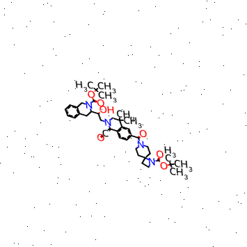 CC(C)(C)OC(=O)N1Cc2ccccc2CC1C(O)CN1CC(C)(C)c2cc(C(=O)N3CCC4(CC3)CCN4C(=O)OC(C)(C)C)ccc2C1=C=O